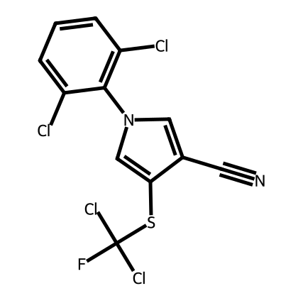 N#Cc1cn(-c2c(Cl)cccc2Cl)cc1SC(F)(Cl)Cl